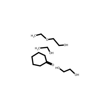 CCO.CCOCCO.O=C1CCCCC1.OCCO